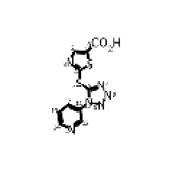 O=C(O)c1cnc(Sc2nnnn2-c2cccnc2)s1